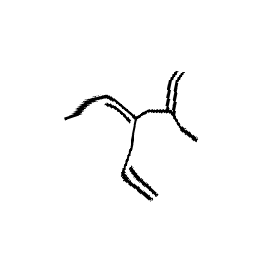 C=C/C(=C\C)C(=C)C